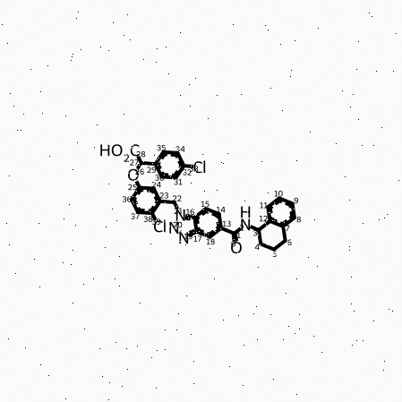 O=C(NC1CCCc2ccccc21)c1ccc2c(c1)nnn2Cc1cc(OC(C(=O)O)c2ccc(Cl)cc2)ccc1Cl